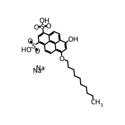 CCCCCCCCCCOc1cc(O)c2ccc3c(S(=O)(=O)O)cc(S(=O)(=O)O)c4ccc1c2c34.[Na].[Na]